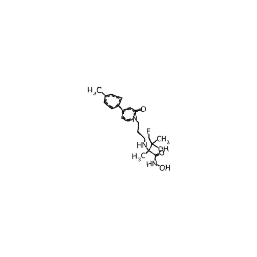 Cc1ccc(-c2ccn(CCCNC(C)(C(=O)NO)C(C)(O)CF)c(=O)c2)cc1